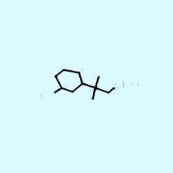 CC(C)C1CCCC(C(C)(C)CC=O)C1